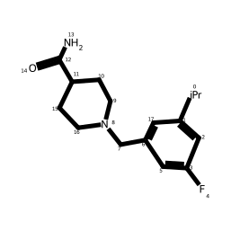 CC(C)c1cc(F)cc(CN2CCC(C(N)=O)CC2)c1